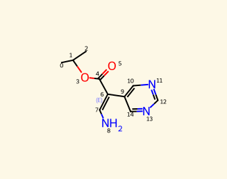 CC(C)OC(=O)/C(=C/N)c1cncnc1